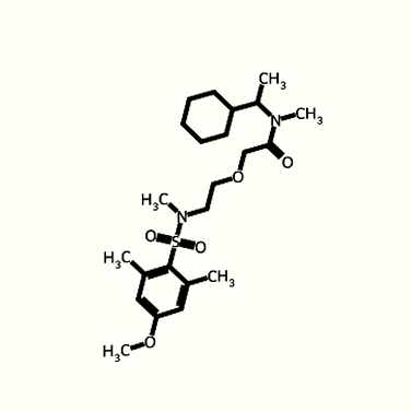 COc1cc(C)c(S(=O)(=O)N(C)CCOCC(=O)N(C)C(C)C2CCCCC2)c(C)c1